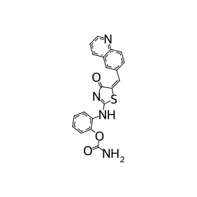 NC(=O)Oc1ccccc1NC1=NC(=O)C(=Cc2ccc3ncccc3c2)S1